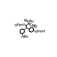 CCCCCC(C(=C=[N+]=[N-])CCCC)=C(c1ccc(CCCCC)cc1)c1cccc(CCCC)c1.[Ni]